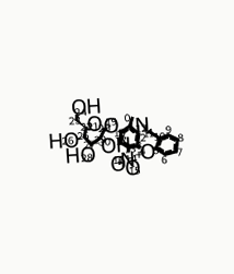 Cc1cc(Oc2ccccc2C#N)c([N+](=O)[O-])cc1O[C@H]1O[C@H](CO)[C@@H](O)[C@H](O)[C@@H]1O